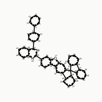 c1ccc(-c2ccc(-c3nc(-c4ccc5c(c4)oc4cc6c(cc45)-c4ccccc4C64c5ccccc5-c5ccccc54)nc4ccccc34)cc2)cc1